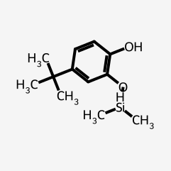 C[SiH](C)Oc1cc(C(C)(C)C)ccc1O